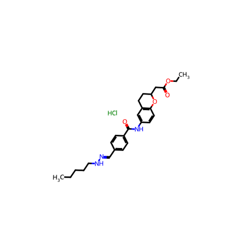 CCCCCNN=Cc1ccc(C(=O)Nc2ccc3c(c2)CCC(CC(=O)OCC)O3)cc1.Cl